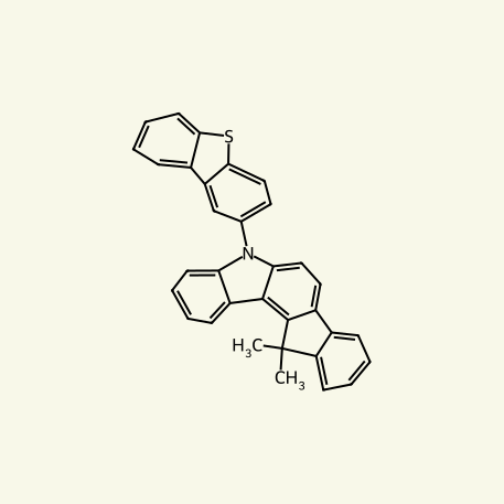 CC1(C)c2ccccc2-c2ccc3c(c21)c1ccccc1n3-c1ccc2sc3ccccc3c2c1